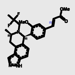 COC(=O)/C=C/c1ccc([C@@H]2c3ccc4[nH]ncc4c3C[C@@H](C)N2CC(C)(F)F)c(OC)c1